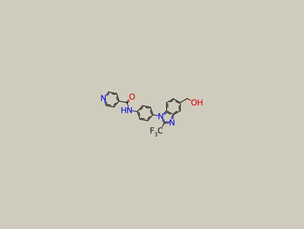 O=C(Nc1ccc(-n2c(C(F)(F)F)nc3cc(CO)ccc32)cc1)c1ccncc1